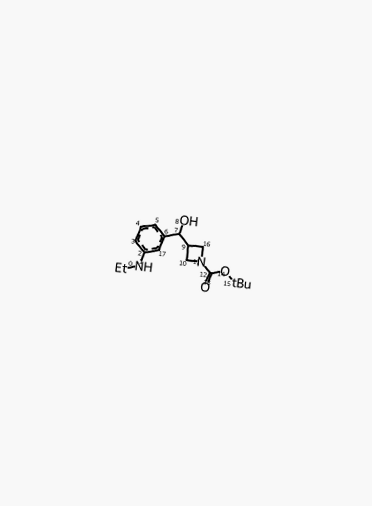 CCNc1cccc(C(O)C2CN(C(=O)OC(C)(C)C)C2)c1